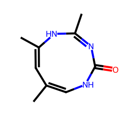 Cc1c[nH]c(=O)nc(C)[nH]c(C)c1